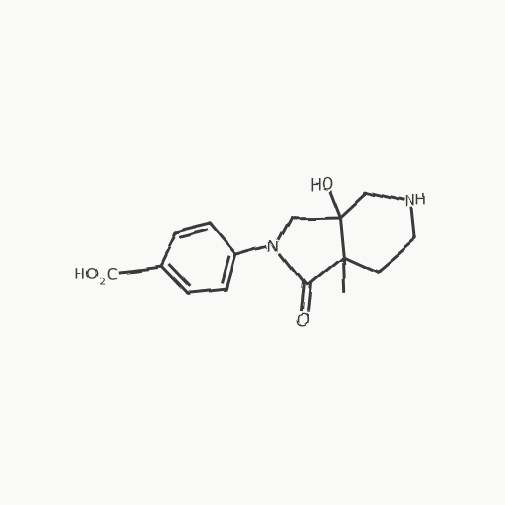 CC12CCNCC1(O)CN(c1ccc(C(=O)O)cc1)C2=O